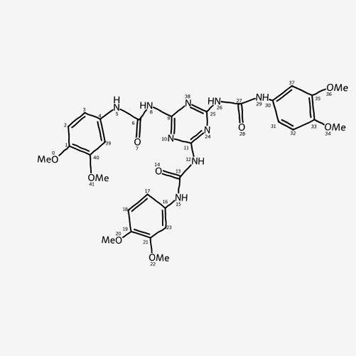 COc1ccc(NC(=O)Nc2nc(NC(=O)Nc3ccc(OC)c(OC)c3)nc(NC(=O)Nc3ccc(OC)c(OC)c3)n2)cc1OC